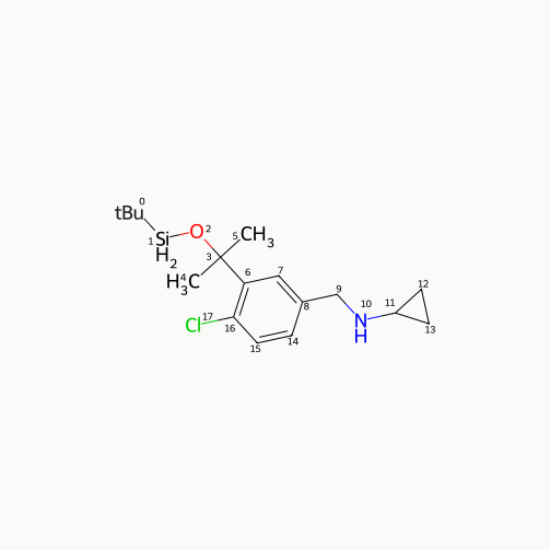 CC(C)(C)[SiH2]OC(C)(C)c1cc(CNC2CC2)ccc1Cl